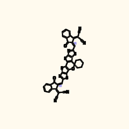 N#CC(C#N)=C1/C(=C/c2nc3sc4c(c3s2)OC2(CCCCC2)c2c-4sc3nc(/C=C4\C(=O)c5ccccc5C4=C(C#N)C#N)sc23)C(=O)c2ccccc21